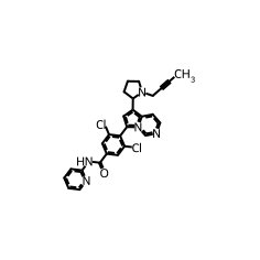 CC#CCN1CCCC1c1cc(-c2c(Cl)cc(C(=O)Nc3ccccn3)cc2Cl)n2cnccc12